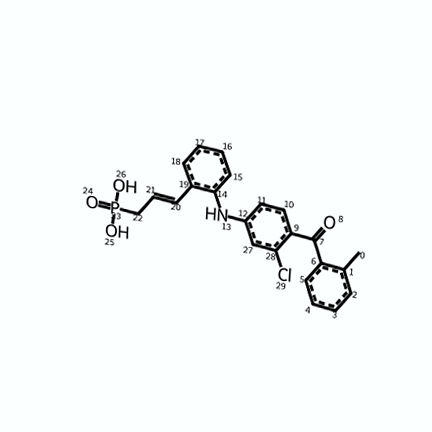 Cc1ccccc1C(=O)c1ccc(Nc2ccccc2C=CCP(=O)(O)O)cc1Cl